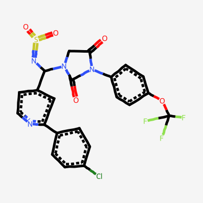 O=C1CN(C(N=S(=O)=O)c2ccnc(-c3ccc(Cl)cc3)c2)C(=O)N1c1ccc(OC(F)(F)F)cc1